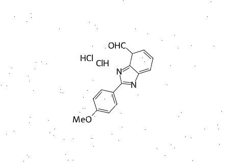 COc1ccc(C2=NC3=CC=CC(C=O)C3=N2)cc1.Cl.Cl